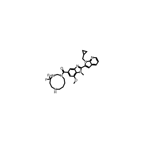 COc1cc(C(=O)N2CCCCNCCC(F)(F)NC2)cc2nc(-c3cc4cccnc4n3CC3CC3)n(C)c12